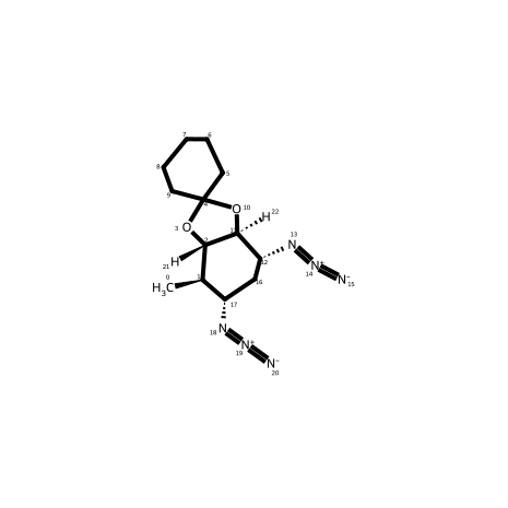 C[C@H]1[C@@H]2OC3(CCCCC3)O[C@H]2[C@H](N=[N+]=[N-])C[C@@H]1N=[N+]=[N-]